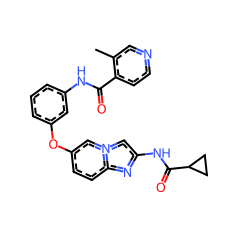 Cc1cnccc1C(=O)Nc1cccc(Oc2ccc3nc(NC(=O)C4CC4)cn3c2)c1